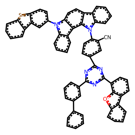 N#Cc1cc(-c2nc(-c3cccc(-c4ccccc4)c3)nc(-c3cccc4c3oc3ccccc34)n2)ccc1-n1c2ccccc2c2ccc3c(c4ccccc4n3-c3ccc4sc5ccccc5c4c3)c21